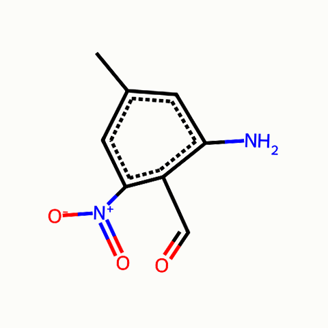 Cc1cc(N)c(C=O)c([N+](=O)[O-])c1